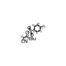 Cc1ccc(S(=O)(=O)O/C(=C/C#N)C(C)(C)C)cc1